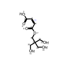 O=C(O)/C=C\C(=O)OCC(CO)(CO)CO